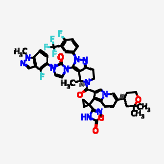 C[C@H]1c2c(nn(-c3ccc(F)c(C(F)(F)F)c3)c2-n2ccn(-c3ccc4c(cnn4C)c3F)c2=O)CCN1C(=O)c1cn2cc([C@H]3CCOC(C)(C)C3)ccc2c1C1(c2noc(=O)[nH]2)CC1